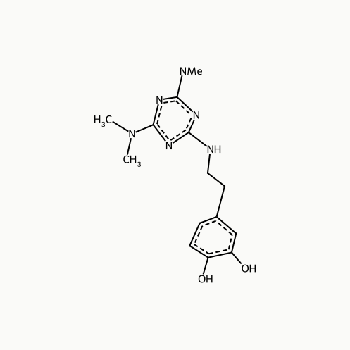 CNc1nc(NCCc2ccc(O)c(O)c2)nc(N(C)C)n1